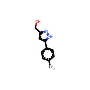 OCc1cc(-c2ccc(C(F)(F)F)cc2)[nH]n1